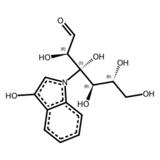 O=C[C@H](O)[C@@](O)([C@H](O)[C@H](O)CO)n1cc(O)c2ccccc21